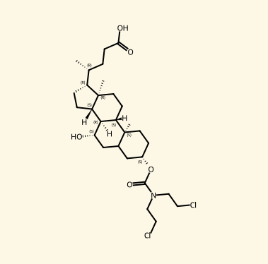 C[C@H](CCC(=O)O)[C@H]1CC[C@H]2[C@@H]3[C@@H](O)CC4C[C@@H](OC(=O)N(CCCl)CCCl)CC[C@]4(C)[C@H]3CC[C@]12C